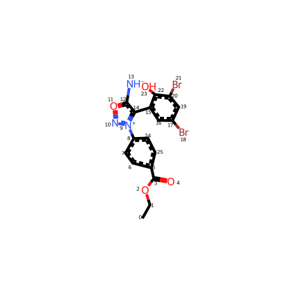 CCOC(=O)c1ccc(-[n+]2noc([NH-])c2-c2cc(Br)cc(Br)c2O)cc1